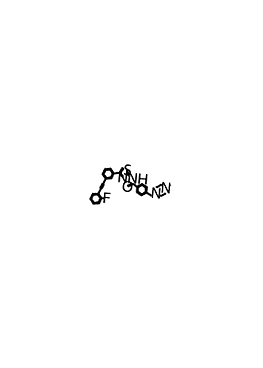 CN1CCN(Cc2ccc(C(=O)Nc3nc(-c4cccc(C#Cc5ccccc5F)c4)cs3)cc2)CC1